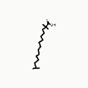 CC(C)CCCCCCCCCCCC(C)(C)C(=O)O